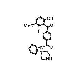 COc1ccc(O)c(C(=O)c2ccc(C(=O)NC3(c4ccccc4)CCNCC3)cc2)c1F